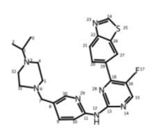 CC(C)N1CCN(Cc2ccc(Nc3ncc(F)c(-c4ccc5ncsc5c4)n3)nc2)CC1